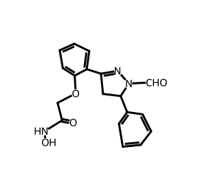 O=CN1N=C(c2ccccc2OCC(=O)NO)CC1c1ccccc1